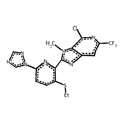 CCSc1ccc(-n2cncn2)nc1-c1nc2cc(C(F)(F)F)nc(Cl)c2n1C